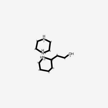 C1CNCCN1.OCCC1CCCCN1